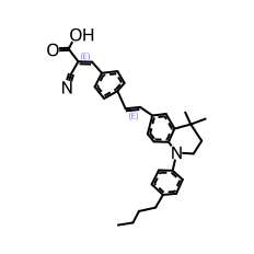 CCCCc1ccc(N2CCC(C)(C)c3cc(/C=C/c4ccc(/C=C(\C#N)C(=O)O)cc4)ccc32)cc1